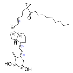 C=C1/C(=C\C=C2/CCC[C@]3(C)[C@@H]([C@H](C)/C=C/CCC4(C(=O)CCCCCCCCC)CC4)CC[C@@H]23)C[C@@H](O)C[C@@H]1O